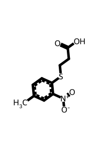 Cc1ccc(SCCC(=O)O)c([N+](=O)[O-])c1